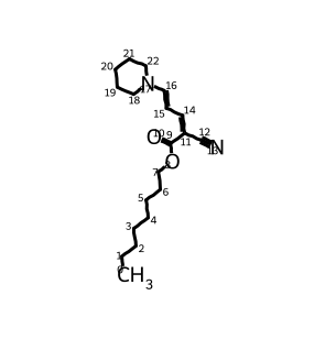 CCCCCCCCOC(=O)/C(C#N)=C\C=C\N1CCCCC1